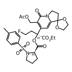 CCOC(=O)[C@@](CCF)(OC(=O)[C@H]1CCCN1S(=O)(=O)c1ccc(C)cc1)c1cc2n(c(=O)c1COC(C)=O)CCC21OCCO1